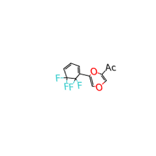 CC(=O)C1=COC=C(C2=CC=CC(F)(F)C2(F)F)O1